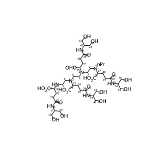 CCCN(CCN(CCN(CCNC(CCC(=O)NC(CO)CO)C(=O)O)C(CCC(=O)NC(CO)CO)C(=O)O)C(C=O)CCC(=O)NC(CO)CO)C(CCC(=O)NC(CO)CO)C(=O)O